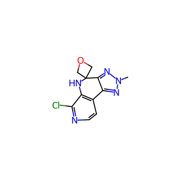 Cn1nc2c(n1)C1(COC1)Nc1c-2ccnc1Cl